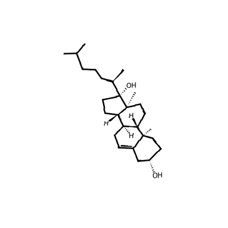 CC(C)CCC[C@@H](C)[C@]1(O)CC[C@H]2[C@@H]3CC=C4C[C@@H](O)CC[C@]4(C)[C@H]3CC[C@@]21C